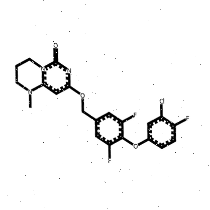 CN1CCCn2c1cc(OCc1cc(F)c(Oc3ccc(F)c(Cl)c3)c(F)c1)nc2=O